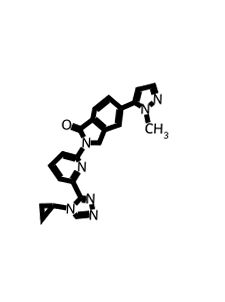 Cn1nccc1-c1ccc2c(c1)CN(c1cccc(-c3nncn3C3CC3)n1)C2=O